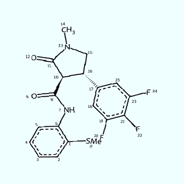 CSc1ccccc1NC(=O)[C@H]1C(=O)N(C)C[C@@H]1c1cc(F)c(F)c(F)c1